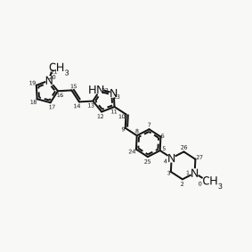 CN1CCN(c2ccc(/C=C/c3cc(/C=C/c4cccn4C)[nH]n3)cc2)CC1